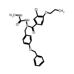 CCCOc1ccc(C(=O)N(Cc2ccc(OCc3ccccc3)cc2)NC(=O)NC)cc1Cl